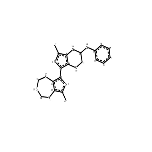 Cc1sc(-c2sc(C)c3c2SCC(Sc2ccccc2)S3)c2c1SCSCS2